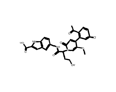 COc1cn(C(CCO)C(=O)Nc2ccc3[nH]c(C(=O)O)cc3c2)c(=O)cc1-c1cc(Cl)ccc1C(C)=O